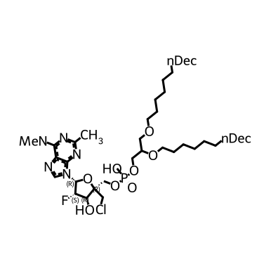 CCCCCCCCCCCCCCCCOCC(COP(=O)(O)OC[C@@]1(CCl)O[C@@H](n2cnc3c(NC)nc(C)nc32)[C@@H](F)[C@@H]1O)OCCCCCCCCCCCCCCCC